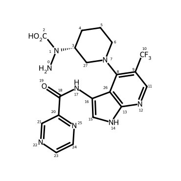 NN(C(=O)O)[C@@H]1CCCN(c2c(C(F)(F)F)cnc3[nH]cc(NC(=O)c4cnccn4)c23)C1